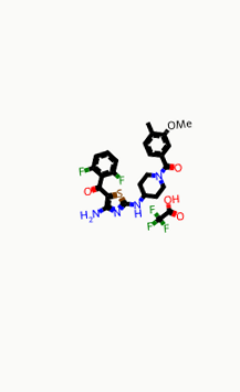 COc1cc(C(=O)N2CCC(Nc3nc(N)c(C(=O)c4c(F)cccc4F)s3)CC2)ccc1C.O=C(O)C(F)(F)F